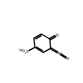 [N-]=[N+]=C1C=C(S(=O)(=O)O)C=CC1=O